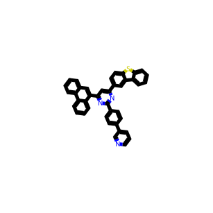 c1cncc(-c2ccc(-c3nc(-c4ccc5sc6ccccc6c5c4)cc(-c4cc5ccccc5c5ccccc45)n3)cc2)c1